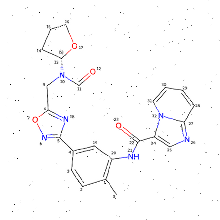 Cc1ccc(-c2noc(CN(C=O)[C@@H]3CCCO3)n2)cc1NC(=O)c1cnc2ccccn12